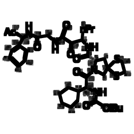 CCCC(NC(=O)[C@@H]1CC2(CN1C(=O)[C@@H](NC(=O)OCC(C)C)C1CCCCC1)SCCS2)C(=O)C(=O)NCC(=O)N[C@H](C(C)=O)c1ccccc1